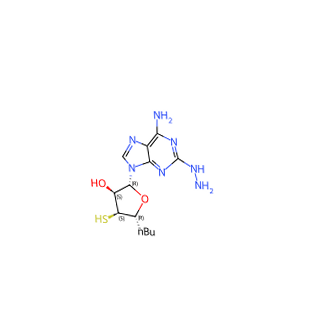 CCCC[C@H]1O[C@@H](n2cnc3c(N)nc(NN)nc32)[C@H](O)[C@@H]1S